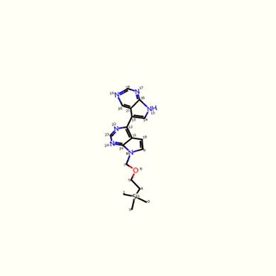 C[Si](C)(C)CCOCn1ccc2c(-c3c[nH]c4ncncc34)ncnc21